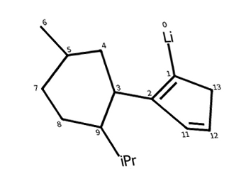 [Li][C]1=C(C2CC(C)CCC2C(C)C)C=CC1